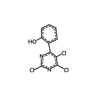 Oc1ccccc1-c1nc(Cl)nc(Cl)c1Cl